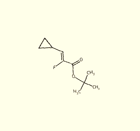 CC(C)(C)OC(=O)C(F)=CC1CC1